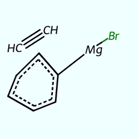 C#C.[Br][Mg][c]1ccccc1